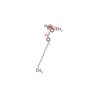 CCCCCCCCCCCCCCCCCCSc1ccc(C(=O)C=Cc2ccc(OC)c(OC)c2OC)cc1